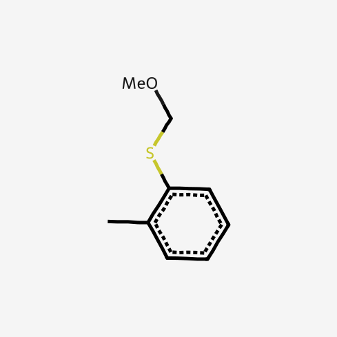 COCSc1ccccc1C